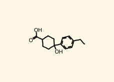 CCc1ccc(C2(O)CCC(C(=O)O)CC2)cc1